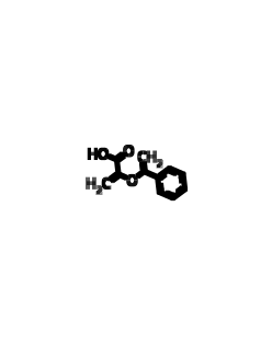 C=C(OC(=C)c1ccccc1)C(=O)O